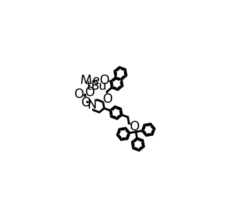 COc1c(COC2CN(OC(=O)OC(C)(C)C)CCC2c2ccc(CCOC(c3ccccc3)(c3ccccc3)c3ccccc3)cc2)ccc2ccccc12